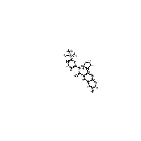 NS(=O)(=O)c1cc(NC(=O)c2cc3cc(F)ccc3nc2N2CCCC2)ccn1